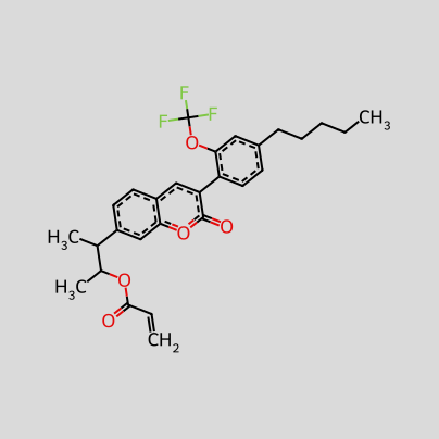 C=CC(=O)OC(C)C(C)c1ccc2cc(-c3ccc(CCCCC)cc3OC(F)(F)F)c(=O)oc2c1